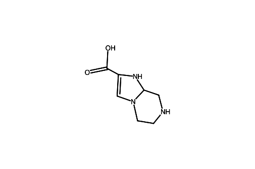 O=C(O)C1=CN2CCNCC2N1